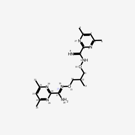 Cc1cc(C)nc(C(=N)NOCC(C)CO/N=C(\N)c2nc(C)cc(C)n2)n1